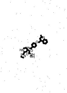 Cc1cc(COc2ccc(C(=O)NC3(CC(=O)NO)CCNC(C4=NCCS4)C3)cc2)c2ccccc2n1